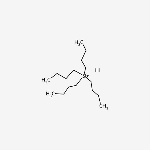 CCC[CH2][Sb]([CH2]CCC)([CH2]CCC)[CH2]CCC.I